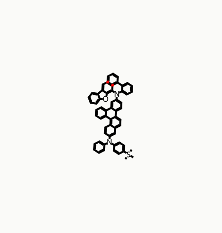 CS(C)(C)c1ccc(N(c2ccccc2)c2ccc3c(ccc4c5ccc(N(c6ccccc6-c6ccccc6)c6cccc7c6oc6ccccc67)cc5c5ccccc5c34)c2)cc1